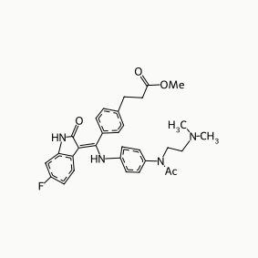 COC(=O)CCc1ccc(C(Nc2ccc(N(CCN(C)C)C(C)=O)cc2)=C2C(=O)Nc3cc(F)ccc32)cc1